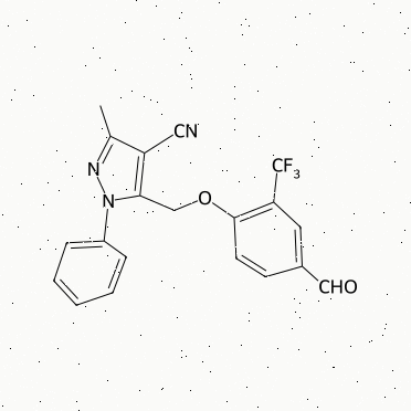 Cc1nn(-c2ccccc2)c(COc2ccc(C=O)cc2C(F)(F)F)c1C#N